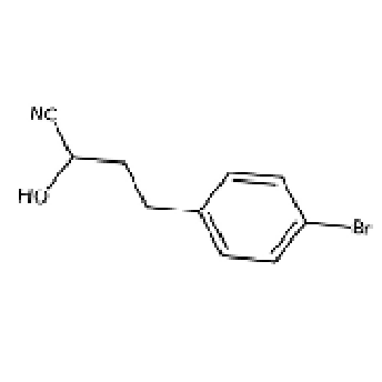 N#CC(O)CCc1ccc(Br)cc1